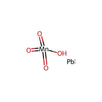 [O]=[Mn](=[O])(=[O])[OH].[Pb]